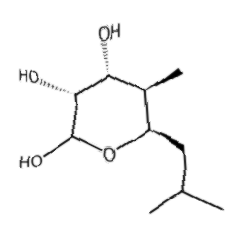 CC(C)C[C@H]1OC(O)[C@H](O)[C@H](O)[C@H]1C